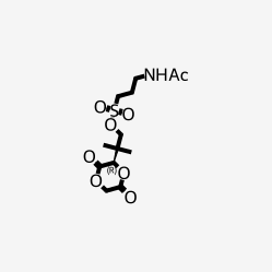 CC(=O)NCCCS(=O)(=O)OCC(C)(C)[C@H]1OC(=O)COC1=O